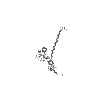 CCCCCCCCCCCCCCCCOc1ccc(S(=O)(=O)NC(=O)CC)cc1NC(=O)C(C)C1=Nc2ccccc2S(=O)(=O)N1CC